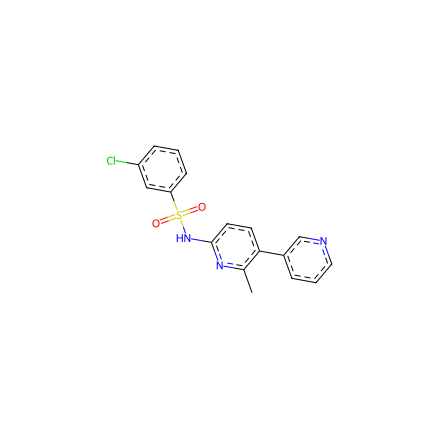 Cc1nc(NS(=O)(=O)c2cccc(Cl)c2)ccc1-c1cccnc1